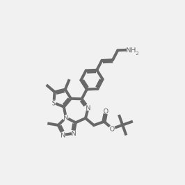 Cc1sc2c(c1C)C(c1ccc(C=CCN)cc1)=NC(CC(=O)OC(C)(C)C)c1nnc(C)n1-2